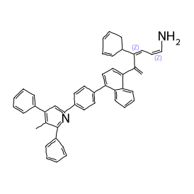 C=C(/C(=C\C=C/N)C1C=CC=CC1)c1ccc(-c2ccc(-c3cc(-c4ccccc4)c(C)c(-c4ccccc4)n3)cc2)c2ccccc12